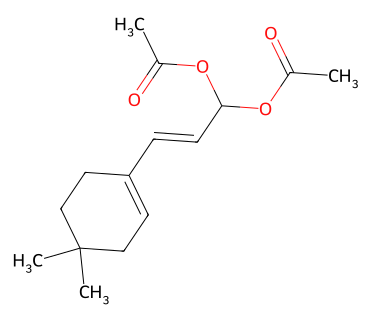 CC(=O)OC(C=CC1=CCC(C)(C)CC1)OC(C)=O